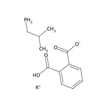 CC(C)CP.O=C([O-])c1ccccc1C(=O)O.[K+]